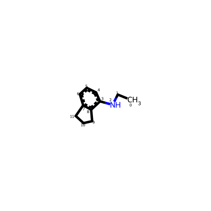 CCNc1cccc2c1CCC2